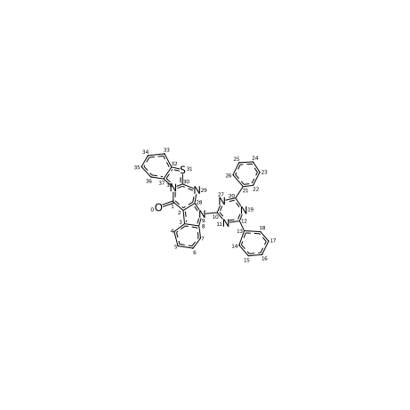 O=c1c2c3ccccc3n(-c3nc(-c4ccccc4)nc(-c4ccccc4)n3)c2nc2sc3ccccc3n12